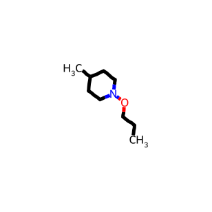 CCCON1CCC(C)CC1